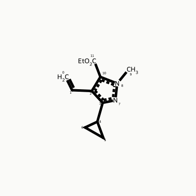 C=Cc1c(C2CC2)nn(C)c1C(=O)OCC